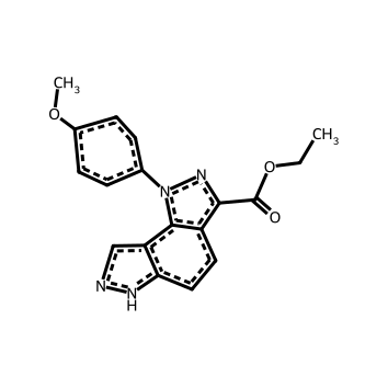 CCOC(=O)c1nn(-c2ccc(OC)cc2)c2c1ccc1[nH]ncc12